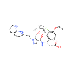 COc1ccc([C@H](CC(=O)O)NC(=O)c2cnn(CCc3ccc4c(n3)NCCC4)c2COC(C)(C)C)cc1F